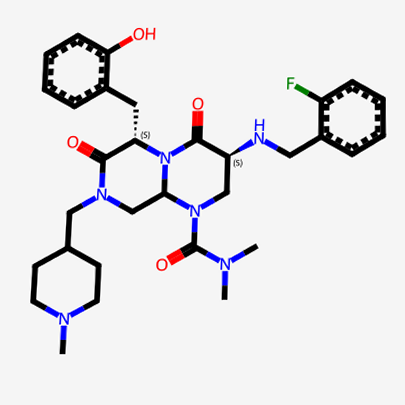 CN1CCC(CN2CC3N(C(=O)N(C)C)C[C@H](NCc4ccccc4F)C(=O)N3[C@@H](Cc3ccccc3O)C2=O)CC1